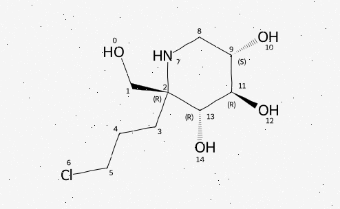 OC[C@@]1(CCCCl)NC[C@H](O)[C@@H](O)[C@@H]1O